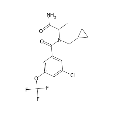 CC(C(N)=O)N(CC1CC1)C(=O)c1cc(Cl)cc(OC(F)(F)F)c1